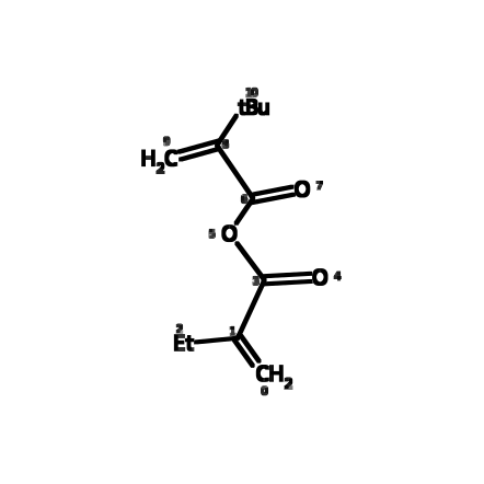 C=C(CC)C(=O)OC(=O)C(=C)C(C)(C)C